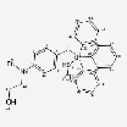 CBP(Cc1ccc(N(CC)CCO)cc1)(c1ccccc1)(c1ccccc1)c1ccccc1